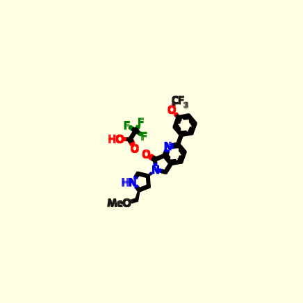 COC[C@@H]1C[C@@H](N2Cc3ccc(-c4cccc(OC(F)(F)F)c4)nc3C2=O)CN1.O=C(O)C(F)(F)F